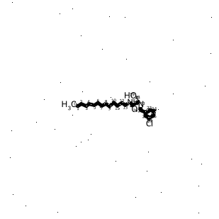 CCCCCCCCCCCCCCNC(=O)[C@H](CO)N=Cc1cccc(Cl)c1